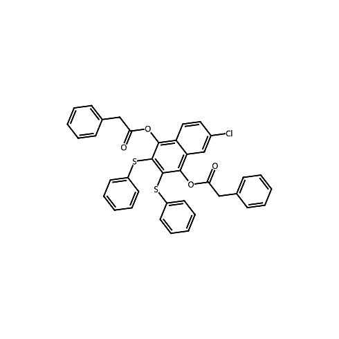 O=C(Cc1ccccc1)Oc1c(Sc2ccccc2)c(Sc2ccccc2)c(OC(=O)Cc2ccccc2)c2cc(Cl)ccc12